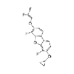 FC(F)=COc1ccc2c(oc3c(F)c(OC4CC4)ccc32)c1F